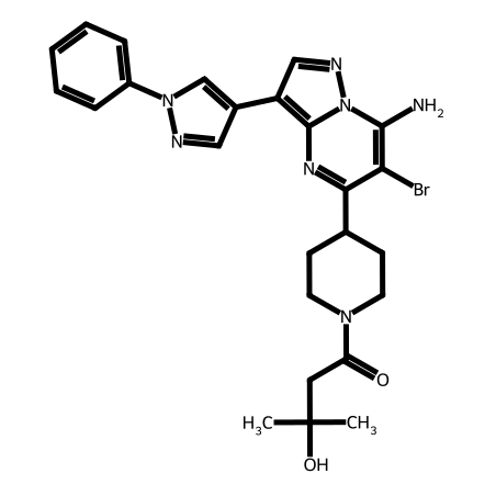 CC(C)(O)CC(=O)N1CCC(c2nc3c(-c4cnn(-c5ccccc5)c4)cnn3c(N)c2Br)CC1